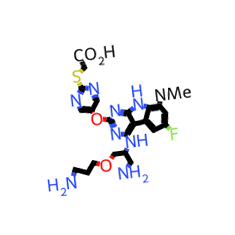 CNc1cc(F)cc2c1[nH]c1nc(Oc3cnc(SCC(=O)O)nc3)nc(NC(CN)COCCCN)c12